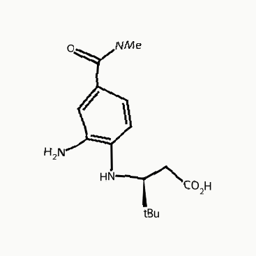 CNC(=O)c1ccc(N[C@@H](CC(=O)O)C(C)(C)C)c(N)c1